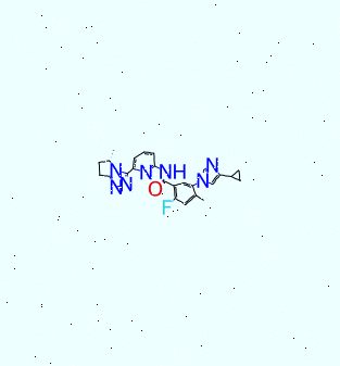 Cc1cc(F)c(C(=O)Nc2cccc(-c3nnc4n3[C@@H](C)CC4)n2)cc1-n1cnc(C2CC2)c1